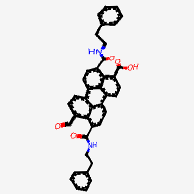 O=Cc1ccc2c3ccc(C(=O)NCCc4ccccc4)c4c(C(=O)O)ccc(c5ccc(C(=O)NCCc6ccccc6)c1c52)c43